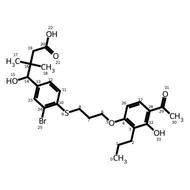 CCCc1c(OCCCSc2ccc(C(O)C(C)(C)CC(=O)O)cc2Br)ccc(C(C)=O)c1O